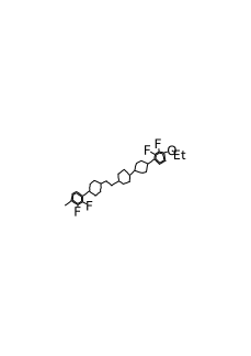 CCOc1ccc(C2CCC(C3CCC(CCC4CCC(c5ccc(C)c(F)c5F)CC4)CC3)CC2)c(F)c1F